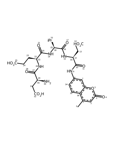 Cc1cc(=O)oc2cc(NC(=O)[C@H](CC(=O)O)NC(=O)[C@@H](NC(=O)[C@H](CCC(=O)O)NC(=O)[C@@H](N)CC(=O)O)C(C)C)ccc12